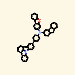 c1ccc2c(c1)Cc1ccc(N(c3ccc(-c4ccc5c(c4)c4cccc6c7ccccc7n5c64)cc3)c3ccc4c(c3)oc3ccccc34)cc1-2